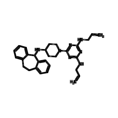 C=CCNc1nc(NCC=C)nc(N2CCC(NC3c4ccccc4CCc4ccccc43)CC2)n1